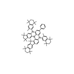 Cc1cc2c(cc1N1c3cc4c(cc3B3c5c1cc(-c1ccccc1)cc5N(c1cc5c(cc1C)C(C)(C)CCC5(C)C)c1ccc5c(c13)C(C)(C)c1cc3c(cc1-5)C(C)(C)CCC3(C)C)C(C)(C)CC4(C)C)C(C)(C)CCC2(C)C